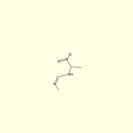 C/N=C\NC(C)[N+](=O)[O-]